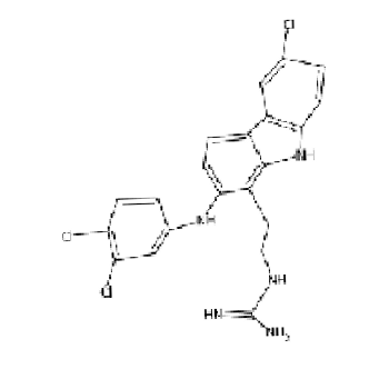 N=C(N)NCCc1c(Nc2ccc(Cl)c(Cl)c2)ccc2c1[nH]c1ccc(Cl)cc12